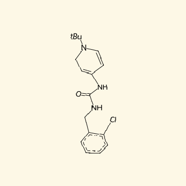 CC(C)(C)N1C=CC(NC(=O)NCc2ccccc2Cl)=CC1